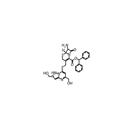 NC1C(=O)N2C(C(=O)OC(c3ccccc3)c3ccccc3)=C(CSC3=CC(CO)=NC4=CN(CO)NN43)CS[C@H]12